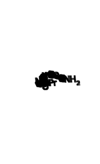 CC(C)OC(=O)c1cccnc1N1CCN(Cc2ccc(OCc3ccc(N)cc3)cc2)CC1